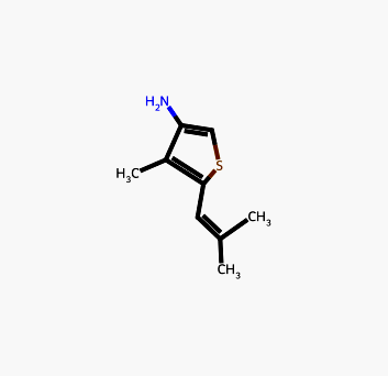 CC(C)=Cc1scc(N)c1C